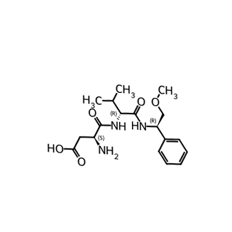 COC[C@H](NC(=O)[C@H](NC(=O)[C@@H](N)CC(=O)O)C(C)C)c1ccccc1